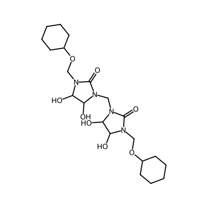 O=C1N(COC2CCCCC2)C(O)C(O)N1CN1C(=O)N(COC2CCCCC2)C(O)C1O